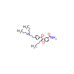 CCCCc1oc2ccc(C(N)=O)cc2c1C(=O)c1ccc(CCCN(CCCC)CCCC)cc1